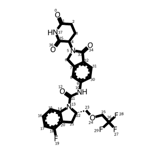 O=C1CCC(N2Cc3cc(NC(=O)N4c5cccc(F)c5C[C@H]4COCC(F)(F)F)ccc3C2=O)C(=O)N1